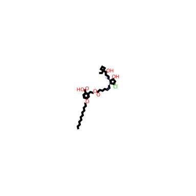 CCCCCCCCCCCCOc1ccc(C(=O)O)c(CCOC(=O)CCC/C=C\C[C@@H]2[C@@H](/C=C/C[C@H](O)C3(CC)CCC3)[C@H](O)C[C@H]2Cl)c1